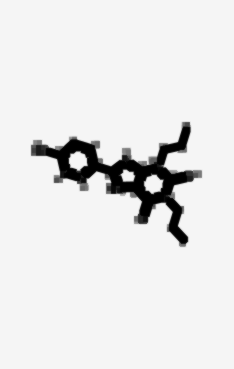 CCCn1c(=O)c2[nH]c(-c3ccc(O)nn3)nc2n(CCC)c1=O